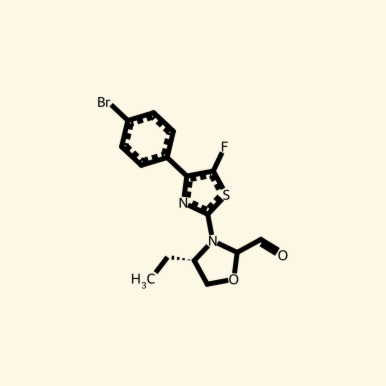 CC[C@H]1COC(C=O)N1c1nc(-c2ccc(Br)cc2)c(F)s1